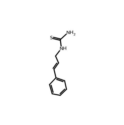 NC(=S)NCC=Cc1ccccc1